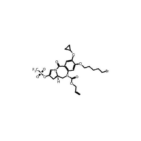 C=CCOC(=O)N1C[C@@H]2CC(OS(=O)(=O)C(F)(F)F)=CN2C(=O)c2cc(OC3CC3)c(OCCCCCBr)cc21